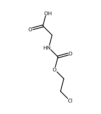 O=C(O)CNC(=O)OCCCl